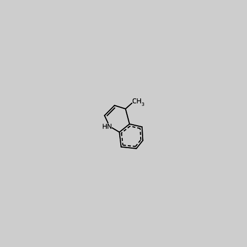 CC1C=CNc2ccccc21